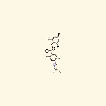 CCN(C)/C=N/c1cc(C)c(C(=O)OCc2c(F)cc(F)cc2F)cc1C